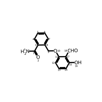 NC(=O)c1ccccc1COc1cccc(O)c1C=O